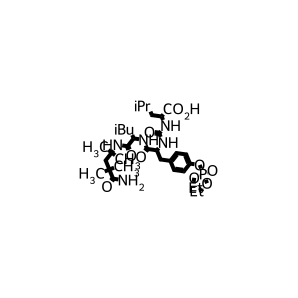 CCOP(=O)(OCC)Oc1ccc(CC(NC(=O)NC(CC(C)C)C(=O)O)C(=O)NC(C(=O)NC(C)(C)CC(C)(C)C(N)=O)C(C)CC)cc1